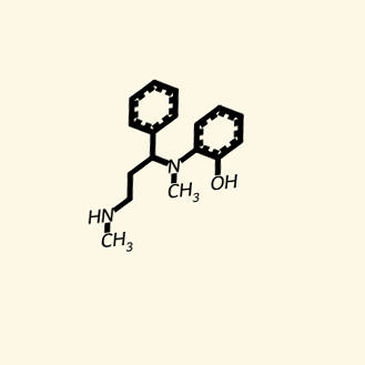 CNCCC(c1ccccc1)N(C)c1ccccc1O